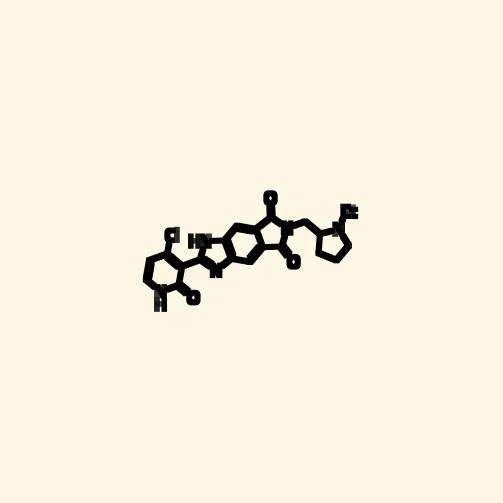 CCN1CCCC1CN1C(=O)c2cc3nc(-c4c(Cl)cc[nH]c4=O)[nH]c3cc2C1=O